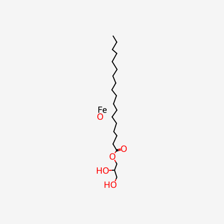 CCCCCCCCCCCCCCCCCC(=O)OCC(O)CO.[O]=[Fe]